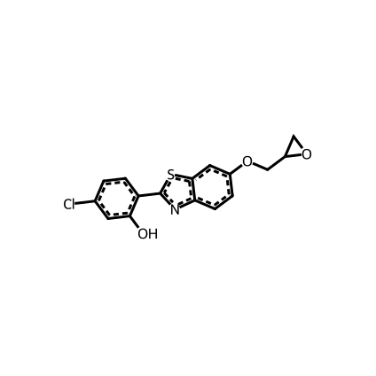 Oc1cc(Cl)ccc1-c1nc2ccc(OCC3CO3)cc2s1